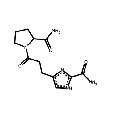 NC(=O)c1nc(C[CH]C(=O)N2CCCC2C(N)=O)c[nH]1